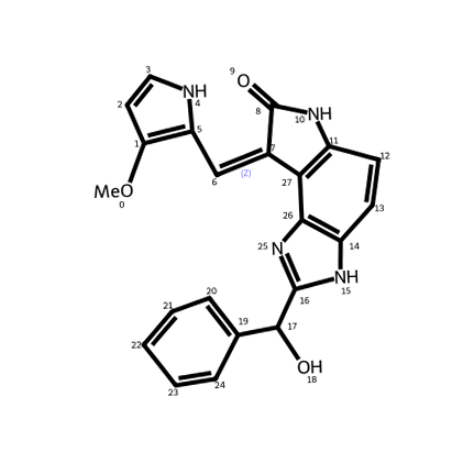 COc1cc[nH]c1/C=C1\C(=O)Nc2ccc3[nH]c(C(O)c4ccccc4)nc3c21